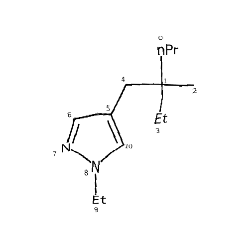 CCCC(C)(CC)Cc1cnn(CC)c1